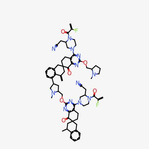 C=C(F)C(=O)N1CCN(c2nc(OCC3CCCN3C)nc3c2CCC2(CC(=C)c4c(cccc4C4CC(COc5nc6c(c(N7CCN(C(=O)C(=C)F)C(CC#N)C7)n5)CCC5(Cc7ccccc7C(C)C5)C6=O)N(C)C4)C2)C3=O)CC1CC#N